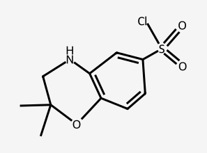 CC1(C)CNc2cc(S(=O)(=O)Cl)ccc2O1